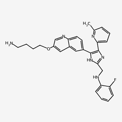 Cc1cccc(-c2nc(CNc3ccccc3F)[nH]c2-c2ccc3ncc(OCCCCN)cc3c2)n1